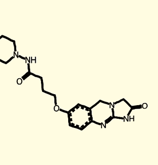 O=C1CN2Cc3cc(OCCCC(=O)NN4CCCCC4)ccc3N=C2N1